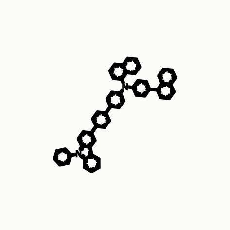 c1ccc(-n2c3ccccc3c3cc(-c4ccc(-c5ccc(N(c6ccc(-c7cccc8ccccc78)cc6)c6cccc7ccccc67)cc5)cc4)ccc32)cc1